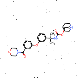 CC(C)(NC(=O)OC1CN2CCC1CC2)c1cccc(Oc2cccc(C(=O)N3CCOCC3)c2)c1